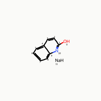 Oc1ccc2ccccc2n1.[NaH]